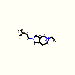 CCN1CCC2CN(CCC(C)C)CC2C1